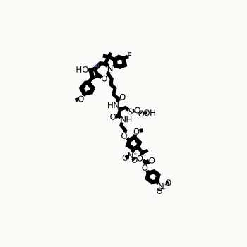 COc1ccc(C2=C(O)/C(=C/C3=[N+](CCCCCC(=O)NC(CSOOO)C(=O)NCCOc4cc([N+](=O)[O-])c(C(C)OC(=O)Oc5ccc([N+](=O)[O-])cc5)cc4OC)c4ccc(F)cc4C3(C)C)C2=O)cc1